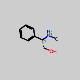 [CH2-][NH2+][C@H](CO)c1ccccc1